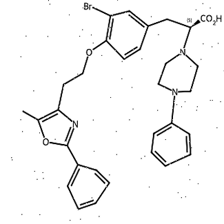 Cc1oc(-c2ccccc2)nc1CCOc1ccc(C[C@@H](C(=O)O)N2CCN(c3ccccc3)CC2)cc1Br